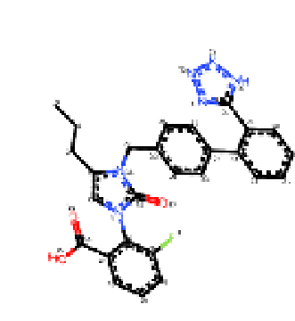 CCCc1cn(-c2c(F)cccc2C(=O)O)c(=O)n1Cc1ccc(-c2ccccc2-c2nnn[nH]2)cc1